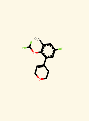 O=[N+]([O-])c1cc(F)cc(C2=CCOCC2)c1OC(F)F